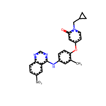 Cc1cc(Nc2ncnc3ccc([N+](=O)[O-])cc23)ccc1Oc1ccn(CC2CC2)c(=O)c1